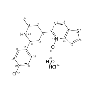 CC1CC(c2ncc3sccc3[n+]2[O-])CC(c2ccc(Cl)cc2)N1.Cl.O